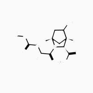 COC(=O)[C@@H]1[C@@H]2C[C@@H](CC2O)N1C(=O)[C@@H](NC(=O)OC(C)(C)C)C(C)(C)C